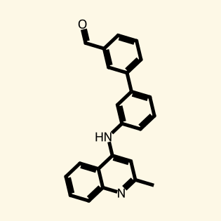 Cc1cc(Nc2cccc(-c3cccc(C=O)c3)c2)c2ccccc2n1